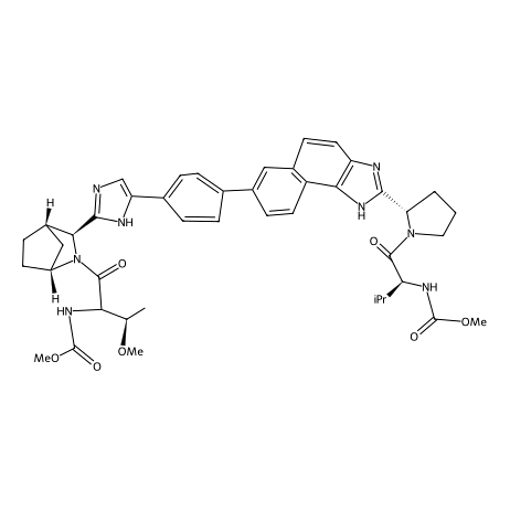 COC(=O)NC(C(=O)N1[C@@H]2CC[C@@H](C2)[C@H]1c1ncc(-c2ccc(-c3ccc4c(ccc5nc([C@@H]6CCCN6C(=O)[C@@H](NC(=O)OC)C(C)C)[nH]c54)c3)cc2)[nH]1)[C@@H](C)OC